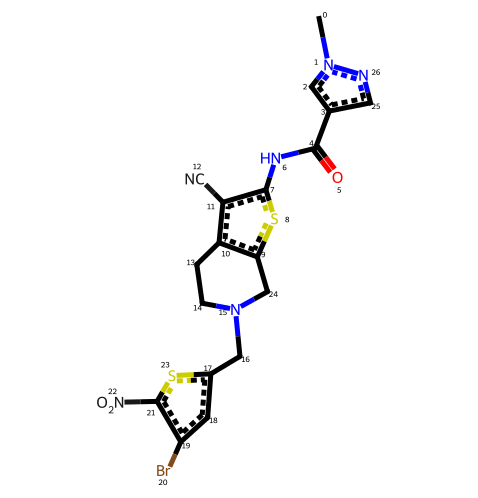 Cn1cc(C(=O)Nc2sc3c(c2C#N)CCN(Cc2cc(Br)c([N+](=O)[O-])s2)C3)cn1